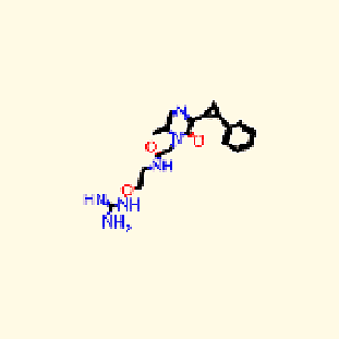 Cc1cnc(C2CC2c2ccccc2)c(=O)n1CC(=O)NCCONC(=N)N